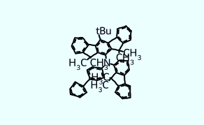 CC(C)(C)c1c2c(c(N(c3ccc(-c4ccccc4)cc3)c3cccc4c3C(C)(C)c3ccccc3-4)c3c1-c1ccccc1C3(C)C)C(C)(C)c1ccccc1-2